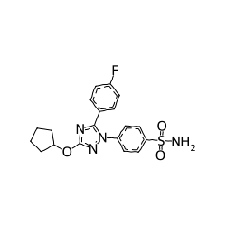 NS(=O)(=O)c1ccc(-n2nc(OC3CCCC3)nc2-c2ccc(F)cc2)cc1